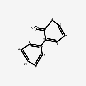 S=C1CC=C[C]=C1c1ccccc1